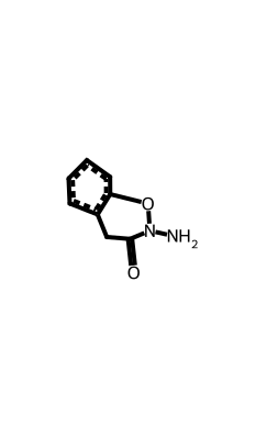 NN1Oc2ccccc2CC1=O